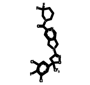 O=C(c1cc2c(cn1)CN(C1=NOC(c3cc(Cl)c(F)c(Cl)c3)(C(F)(F)F)C1)C2)N1CCCC(F)(F)C1